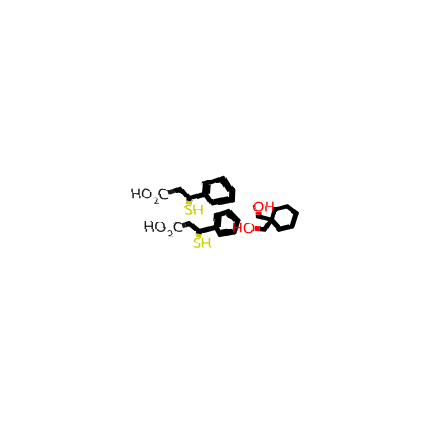 O=C(O)CC(S)c1ccccc1.O=C(O)CC(S)c1ccccc1.OCC1(CO)CCCCC1